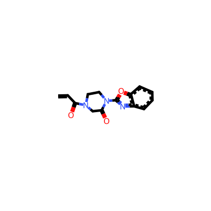 C=CC(=O)N1CCN(c2nc3ccccc3o2)C(=O)C1